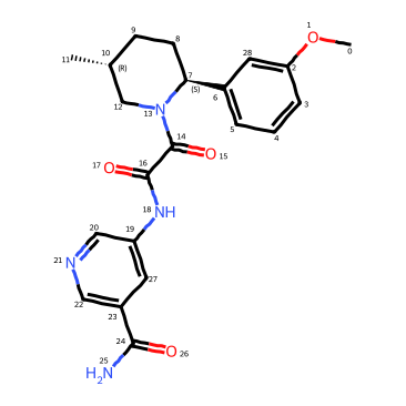 COc1cccc([C@@H]2CC[C@@H](C)CN2C(=O)C(=O)Nc2cncc(C(N)=O)c2)c1